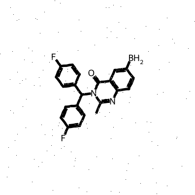 Bc1ccc2nc(C)n(C(c3ccc(F)cc3)c3ccc(F)cc3)c(=O)c2c1